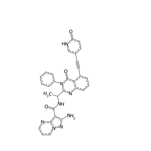 CC(NC(=O)c1c(N)nn2cccnc12)c1nc2cccc(C#Cc3ccc(=O)[nH]c3)c2c(=O)n1-c1ccccc1